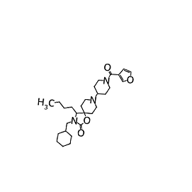 CCCCC1N(CC2CCCCC2)C(=O)OC12CCN(C1CCN(C(=O)c3ccoc3)CC1)CC2